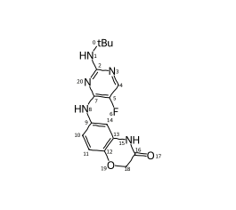 CC(C)(C)Nc1ncc(F)c(Nc2ccc3c(c2)NC(=O)CO3)n1